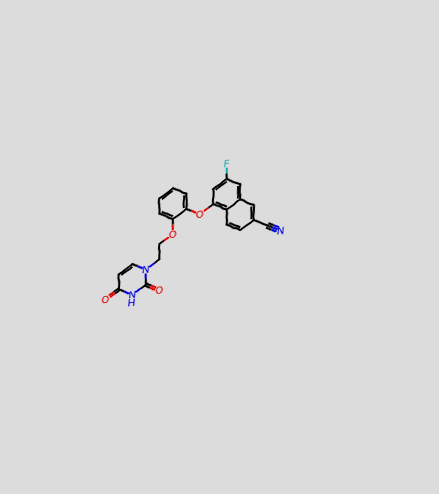 N#Cc1ccc2c(Oc3ccccc3OCCn3ccc(=O)[nH]c3=O)cc(F)cc2c1